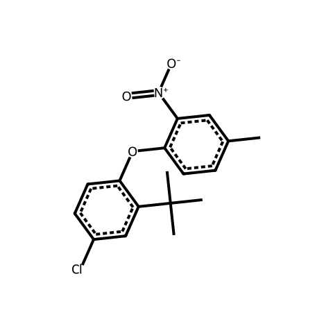 Cc1ccc(Oc2ccc(Cl)cc2C(C)(C)C)c([N+](=O)[O-])c1